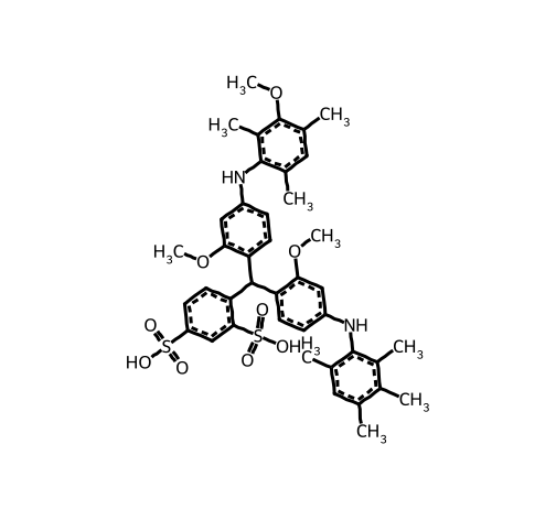 COc1cc(Nc2c(C)cc(C)c(C)c2C)ccc1C(c1ccc(Nc2c(C)cc(C)c(OC)c2C)cc1OC)c1ccc(S(=O)(=O)O)cc1S(=O)(=O)O